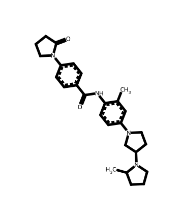 Cc1cc(N2CCC(N3CCCC3C)C2)ccc1NC(=O)c1ccc(N2CCCC2=O)cc1